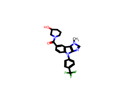 Cn1cnc2c1c1cc(C(=O)N3CCCC(O)C3)ccc1n2-c1ccc(C(F)(F)F)cc1